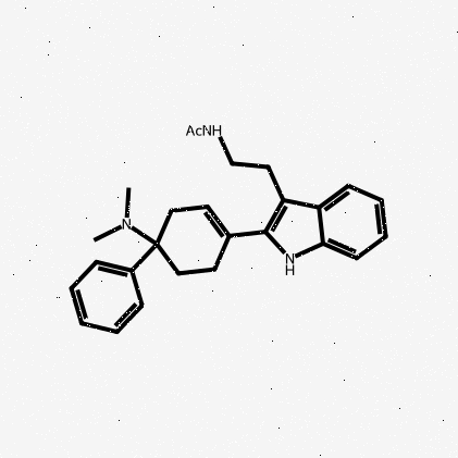 CC(=O)NCCc1c(C2=CCC(c3ccccc3)(N(C)C)CC2)[nH]c2ccccc12